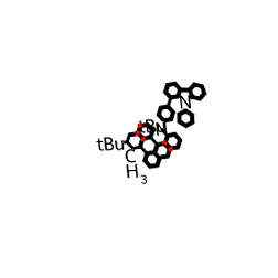 CC1C(c2cccc3cccc(-c4ccccc4N(c4ccccc4)c4ccc(-c5cccc6c7ccccc7n(-c7ccccc7)c56)cc4)c23)=CC(C(C)(C)C)=CC1C(C)(C)C